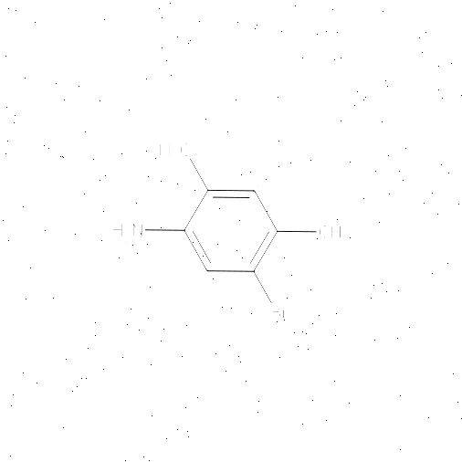 Cc1cc(C)c(Br)cc1N